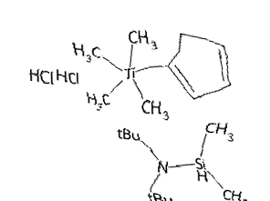 C[SiH](C)N(C(C)(C)C)C(C)(C)C.Cl.Cl.[CH3][Ti]([CH3])([CH3])([CH3])[C]1=CC=CC1